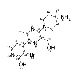 Cc1nc(N2CCC(C)(N)CC2)c(CO)nc1-c1ccnc(O)c1Br